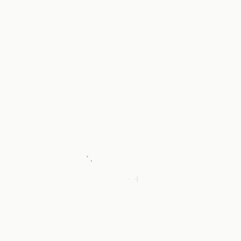 Cc1ccc2c(c1)C=CNC2O